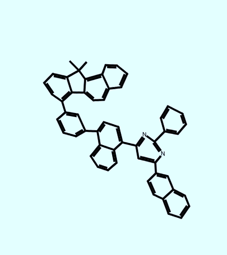 CC1(C)c2cccc(-c3cccc(-c4ccc(-c5cc(-c6ccc7ccccc7c6)nc(-c6ccccc6)n5)c5ccccc45)c3)c2-c2ccc3ccccc3c21